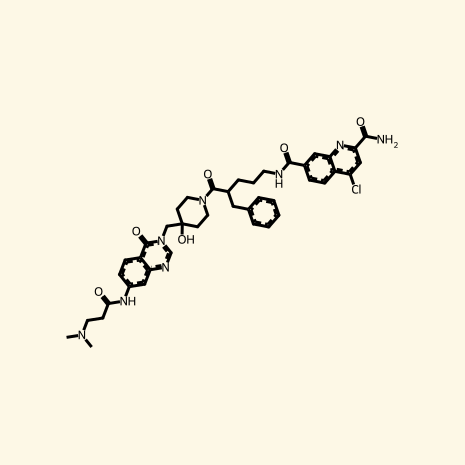 CN(C)CCC(=O)Nc1ccc2c(=O)n(CC3(O)CCN(C(=O)C(CCCNC(=O)c4ccc5c(Cl)cc(C(N)=O)nc5c4)Cc4ccccc4)CC3)cnc2c1